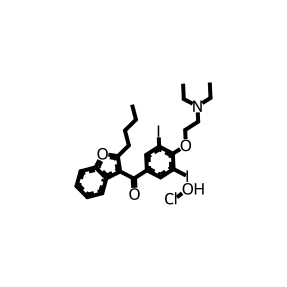 CCCCc1oc2ccccc2c1C(=O)c1cc(I)c(OCCN(CC)CC)c(I)c1.OCl